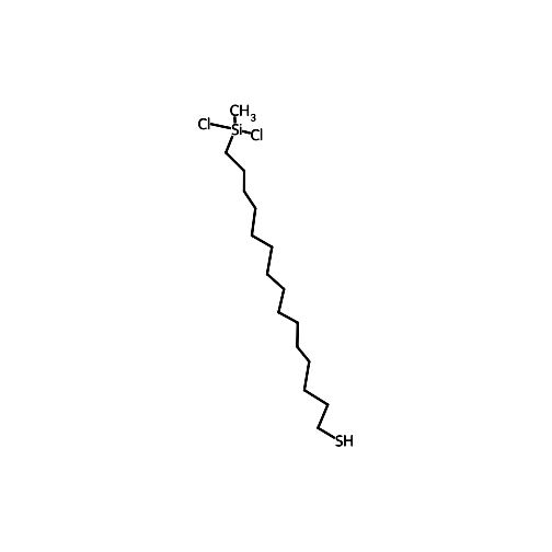 C[Si](Cl)(Cl)CCCCCCCCCCCCCCCS